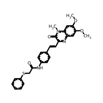 COc1cc2nc(/C=C/c3ccc(NC(=O)CSc4ccccc4)cc3)c(=O)n(C)c2cc1OC